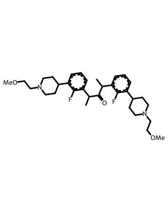 COCCN1CCC(c2cccc(C(C)C(=O)C(C)c3cccc(C4CCN(CCOC)CC4)c3F)c2F)CC1